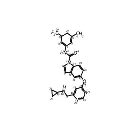 CC1=CC(NC(=O)n2ccc3cc(Oc4cc(CNC5CC5)ncn4)ccc32)=CC(C(F)(F)F)C1